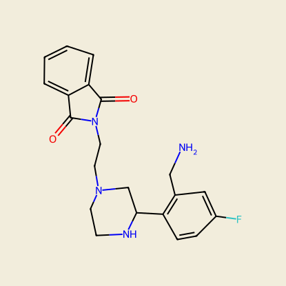 NCc1cc(F)ccc1C1CN(CCN2C(=O)c3ccccc3C2=O)CCN1